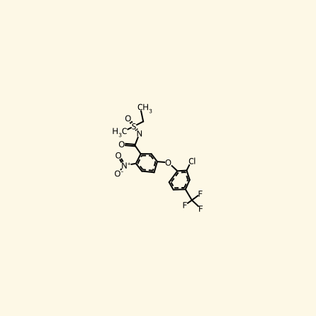 CCS(C)(=O)=NC(=O)c1cc(Oc2ccc(C(F)(F)F)cc2Cl)ccc1[N+](=O)[O-]